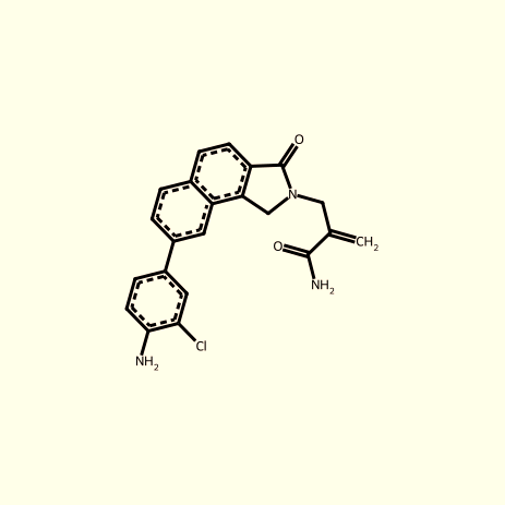 C=C(CN1Cc2c(ccc3ccc(-c4ccc(N)c(Cl)c4)cc23)C1=O)C(N)=O